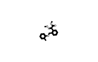 CON=C(C(=O)OC)c1ccccc1COc1ccccc1C